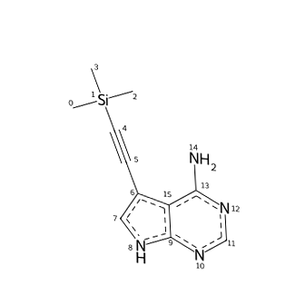 C[Si](C)(C)C#Cc1c[nH]c2ncnc(N)c12